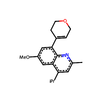 COc1cc(C2=CCOCC2)c2nc(C)cc(C(C)C)c2c1